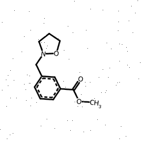 COC(=O)c1cccc(CN2CCCO2)c1